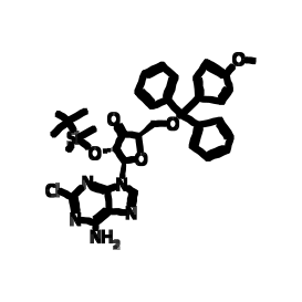 COc1ccc(C(OC[C@H]2O[C@@H](n3cnc4c(N)nc(Cl)nc43)[C@H](O[Si](C)(C)C(C)(C)C)C2=O)(c2ccccc2)c2ccccc2)cc1